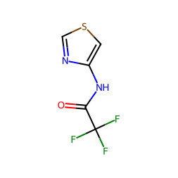 O=C(Nc1cscn1)C(F)(F)F